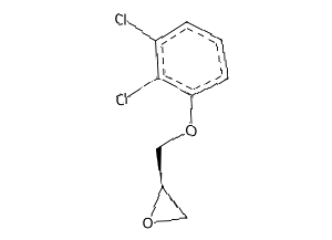 Clc1cccc(OC[C@H]2CO2)c1Cl